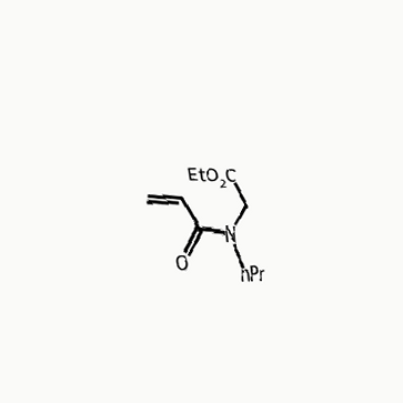 C=CC(=O)N(CCC)CC(=O)OCC